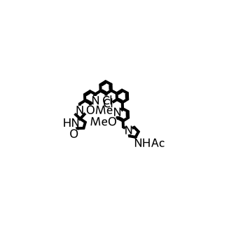 COc1nc(-c2cccc(-c3cccc(-c4ccc(CN5CC6(CCC(=O)N6)C5)c(OC)n4)c3Cl)c2Cl)ccc1CN1CCC(NC(C)=O)C1